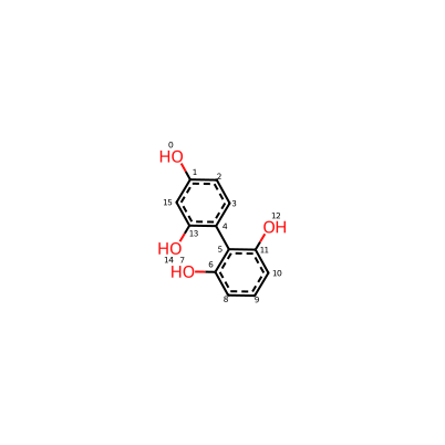 Oc1ccc(-c2c(O)cccc2O)c(O)c1